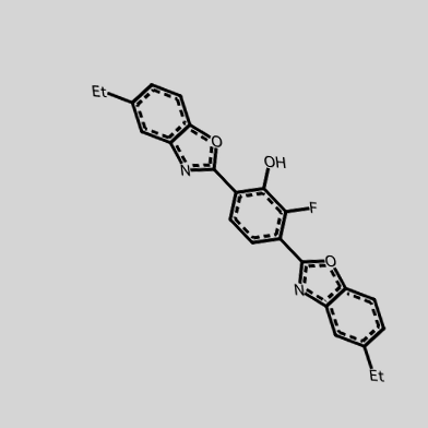 CCc1ccc2oc(-c3ccc(-c4nc5cc(CC)ccc5o4)c(F)c3O)nc2c1